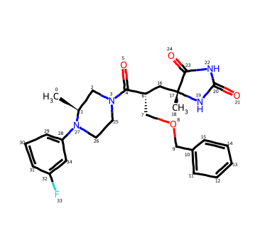 C[C@H]1CN(C(=O)[C@@H](COCc2ccccc2)C[C@@]2(C)NC(=O)NC2=O)CCN1c1cccc(F)c1